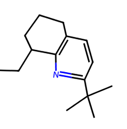 CCC1CCCc2ccc(C(C)(C)C)nc21